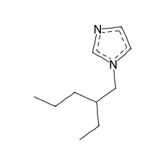 CCCC(CC)Cn1ccnc1